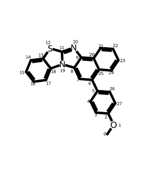 COc1ccc(-c2cc3c(nc4sc5ccccc5n43)c3ccccc23)cc1